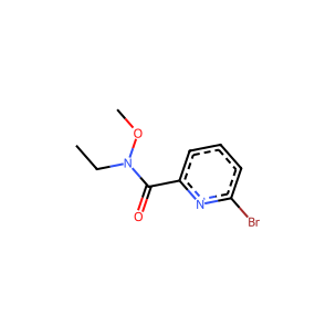 CCN(OC)C(=O)c1cccc(Br)n1